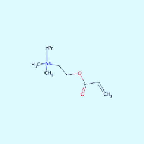 C=CC(=O)OCC[N+](C)(C)CCC